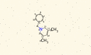 CC1=CN(Cc2ccccc2)CC(C)=C1